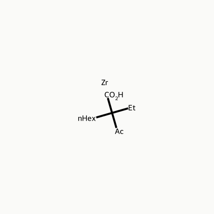 CCCCCCC(CC)(C(C)=O)C(=O)O.[Zr]